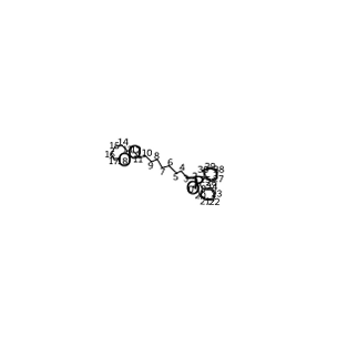 O=P(C=CCCCCCCCCOC1CCCCO1)(c1ccccc1)c1ccccc1